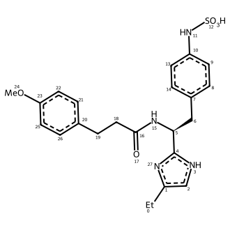 CCc1c[nH]c([C@H](Cc2ccc(NS(=O)(=O)O)cc2)NC(=O)CCc2ccc(OC)cc2)n1